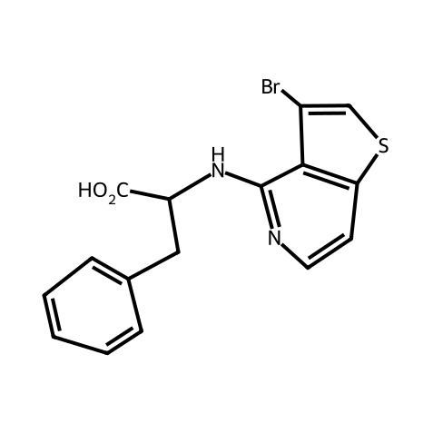 O=C(O)C(Cc1ccccc1)Nc1nccc2scc(Br)c12